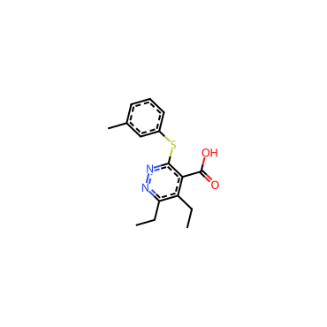 CCc1nnc(Sc2cccc(C)c2)c(C(=O)O)c1CC